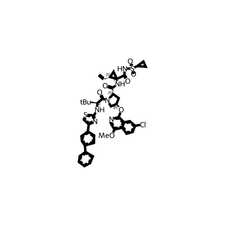 C=C[C@@H]1C[C@]1(NC(=O)[C@@H]1C[C@@H](Oc2ncc(OC)c3ccc(Cl)cc23)CN1C(=O)[C@@H](Nc1nc(-c2ccc(-c3ccccc3)cc2)cs1)C(C)(C)C)C(=O)NS(=O)(=O)C1CC1